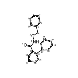 O=C(NOCc1ccccc1)c1ccccc1-c1cccnc1